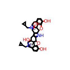 Oc1ccc2c3c1OC1c4[nH]c5c(c4CC4(O)C(C2)N(CC2CC2)CC[C@]314)CC1(O)C2Cc3ccc(O)c4c3[C@@]1(CCN2CC1CC1)C5O4